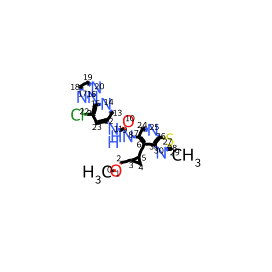 COCC1CC1c1c(NC(=O)Nc2cnc(-n3nccn3)c(Cl)c2)cnc2sc(C)nc12